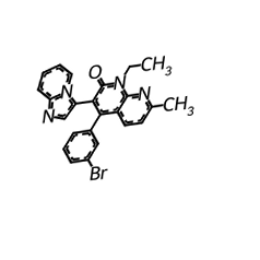 CCn1c(=O)c(-c2cnc3ccccn23)c(-c2cccc(Br)c2)c2ccc(C)nc21